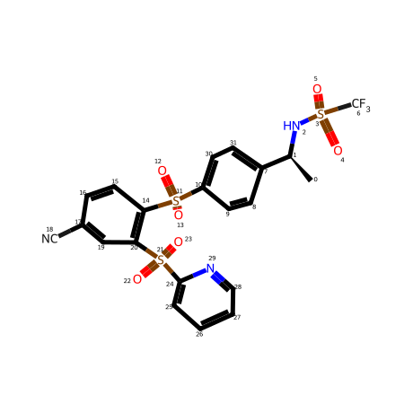 C[C@H](NS(=O)(=O)C(F)(F)F)c1ccc(S(=O)(=O)c2ccc(C#N)cc2S(=O)(=O)c2ccccn2)cc1